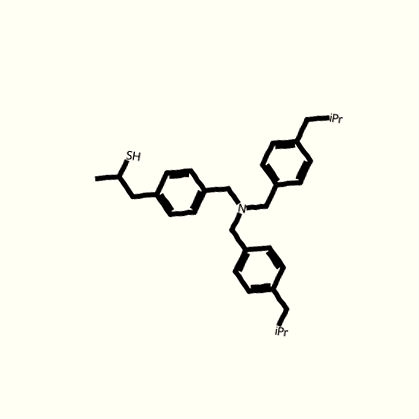 CC(C)Cc1ccc(CN(Cc2ccc(CC(C)C)cc2)Cc2ccc(CC(C)S)cc2)cc1